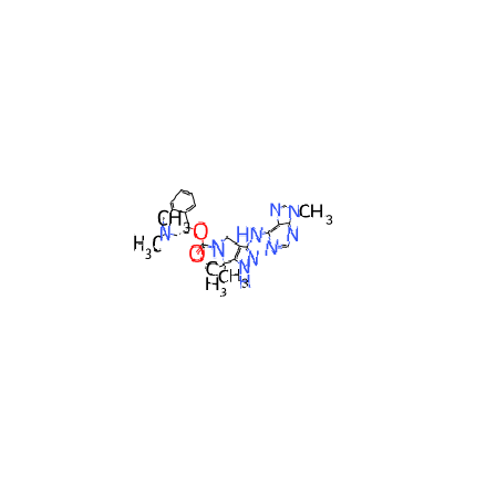 CN(C)C[C@@H](OC(=O)N1Cc2c(Nc3ncnc4c3ncn4C)n[nH]c2C1(C)C)c1ccccc1